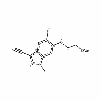 C#Cc1nn(C)c2cc(OCCOC)c(F)cc12